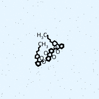 CCCCCC1CCC(c2ccccc2C(=O)Oc2ccc3c(c2)C(=O)c2ccc(OC(=O)c4ccccc4C4CCC(CCCCC)CC4)cc2C3=O)CC1